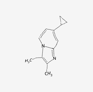 Cc1nc2cc(C3CC3)ccn2c1C